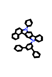 c1ccc(-c2cc(-c3ccccc3)cc(-n3c4ccccc4c4cc5c(cc43)c3c4ccccc4ccc3n5-c3ccccc3)c2)cc1